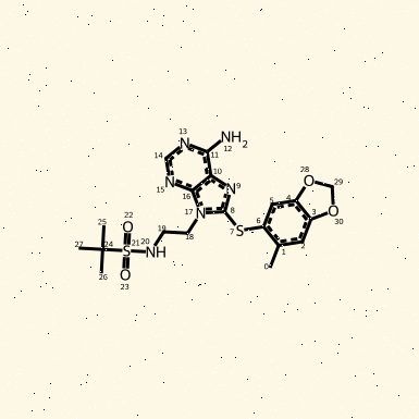 Cc1cc2c(cc1Sc1nc3c(N)ncnc3n1CCNS(=O)(=O)C(C)(C)C)OCO2